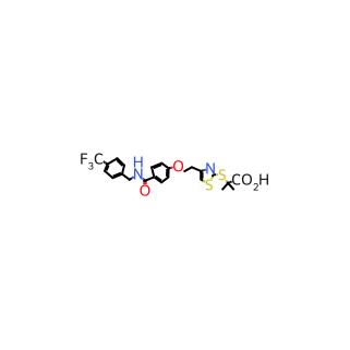 CC(C)(Sc1nc(CCOc2ccc(C(=O)NCc3ccc(C(F)(F)F)cc3)cc2)cs1)C(=O)O